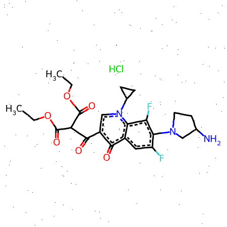 CCOC(=O)C(C(=O)OCC)C(=O)c1cn(C2CC2)c2c(F)c(N3CCC(N)C3)c(F)cc2c1=O.Cl